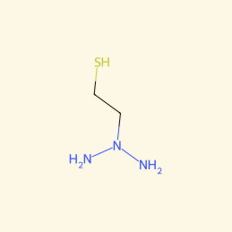 NN(N)CCS